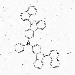 c1ccc(N(c2ccc3c(c2)c2ccccc2n3-c2cccc3ccccc23)c2ccc3c(c2)c2ccccc2n3-c2cccc3ccccc23)cc1